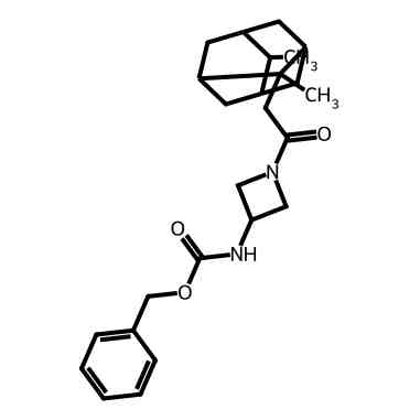 CC1C2CC3CC1CC(C2)C3(C)CC(=O)N1CC(NC(=O)OCc2ccccc2)C1